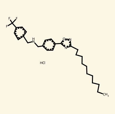 CCCCCCCCCCCc1noc(-c2ccc(CNCc3ccc(C(F)(F)F)cc3)cc2)n1.Cl